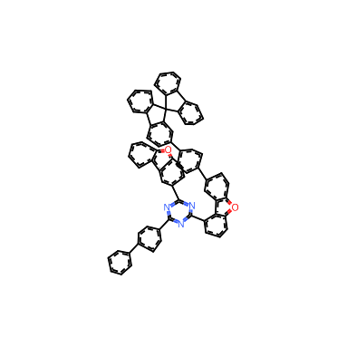 c1ccc(-c2ccc(-c3nc(-c4ccc5oc6ccccc6c5c4)nc(-c4cccc5oc6ccc(-c7ccc(-c8ccc9c(c8)C8(c%10ccccc%10-c%10ccccc%108)c8ccccc8-9)cc7)cc6c45)n3)cc2)cc1